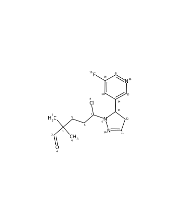 CC(C)(C=O)CCC(Cl)N1N=CCC1c1cncc(F)c1